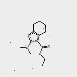 CCOC(=O)c1c(N(C)C)sc2c1CCCC2